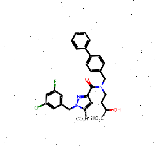 O=C(O)c1cc(C(=O)N(CC[C@@H](O)C(=O)O)Cc2ccc(-c3ccccc3)cc2)nn1Cc1cc(F)cc(Cl)c1